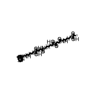 CC(=O)N(O)CCCCCNC(=O)CCC(=O)N(O)CCCCCNC(=O)CCC(=O)N(O)CCCCCNCC12CC3CC(CC(C3)C1)C2